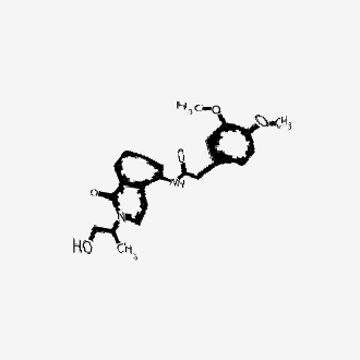 COc1ccc(CC(=O)Nc2cccc3c(=O)n(C(C)CO)ccc23)cc1OC